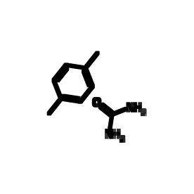 Cc1ccc(C)cc1.NC(N)=O